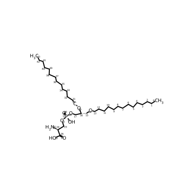 CCCCCCCCCCCCCCOC[C@H](COP(=O)(O)OC[C@H](N)C(=O)O)OCCCCCCCCCCCCCC